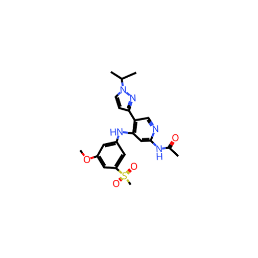 COc1cc(Nc2cc(NC(C)=O)ncc2-c2ccn(C(C)C)n2)cc(S(C)(=O)=O)c1